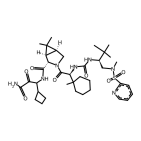 CN(C[C@@H](NC(=O)N[C@H](C(=O)N1C[C@H]2[C@@H]([C@H]1C(=O)NC(C(=O)C(N)=O)C1CCC1)C2(C)C)C1(C)CCCCC1)C(C)(C)C)S(=O)(=O)c1ccccn1